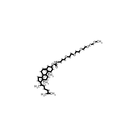 COCCOCCOCCOCCOCCCNC(=O)OC1CC[C@]2(C)C(=CCC3C4CCC([C@H](C)CCCC(C)C)[C@]4(C)CCC32)C1